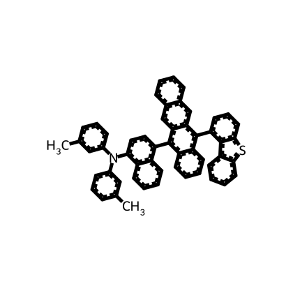 Cc1cccc(N(c2cccc(C)c2)c2ccc(-c3c4ccccc4c(-c4cccc5sc6ccccc6c45)c4cc5ccccc5cc34)c3ccccc23)c1